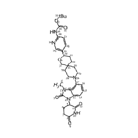 Cn1c(=O)n(C2CCC(=O)NC2=O)c2cccc(N3CCC4(CC[C@H](c5ccc(NC(=O)OC(C)(C)C)nc5)OC4)CC3)c21